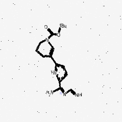 CC(C)(C)OC(=O)N1C=C(c2ccc(/C(N)=N\C=N)[nH]2)CCC1